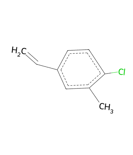 C=Cc1ccc(Cl)c(C)c1